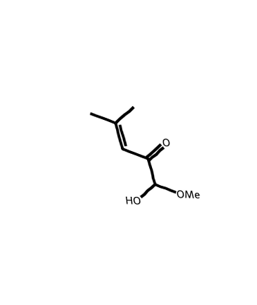 COC(O)C(=O)C=C(C)C